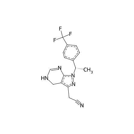 C[C@@H](c1ccc(C(F)(F)F)cc1)n1nc(CC#N)c2c1N=CNC2